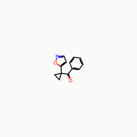 O=C(c1ccccc1)C1(c2ccno2)CC1